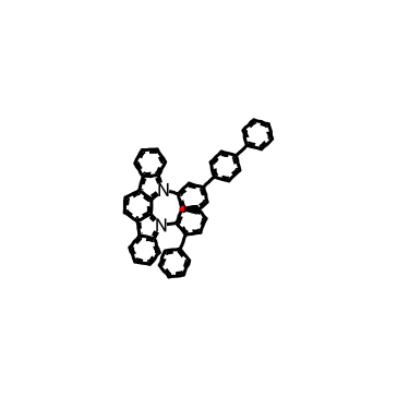 c1ccc(-c2ccc(-c3cccc(-n4c5ccccc5c5ccc6c7ccccc7n(-c7ccccc7-c7ccccc7)c6c54)c3)cc2)cc1